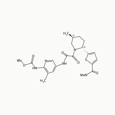 CNC(=O)c1ccc([C@H]2CC[C@H](C)CN2C(=O)C(=O)Nc2cnc(NC(=O)OC(C)(C)C)c(C)c2)s1